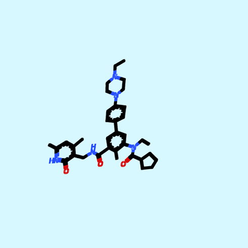 CCN1CCN(c2ccc(-c3cc(C(=O)NCc4c(C)cc(C)[nH]c4=O)c(C)c(N(CC)C(=O)C4CCCC4)c3)cc2)CC1